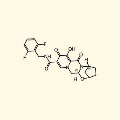 O=C(NCc1c(F)cccc1F)c1cn2c(c(O)c1=O)C(=O)N1[C@@H]3CCC(C3)O[C@H]1C2